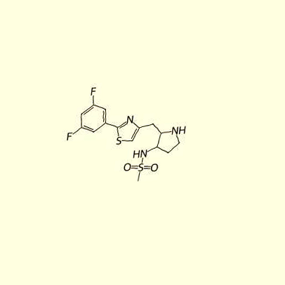 CS(=O)(=O)NC1CCNC1Cc1csc(-c2cc(F)cc(F)c2)n1